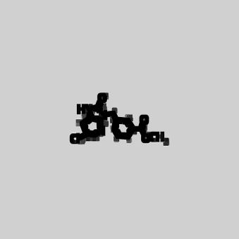 COC(=O)c1cccc(Cn2c(=O)[nH]c3cc(Cl)cnc32)c1